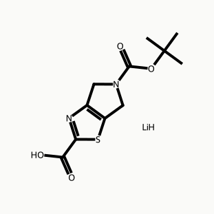 CC(C)(C)OC(=O)N1Cc2nc(C(=O)O)sc2C1.[LiH]